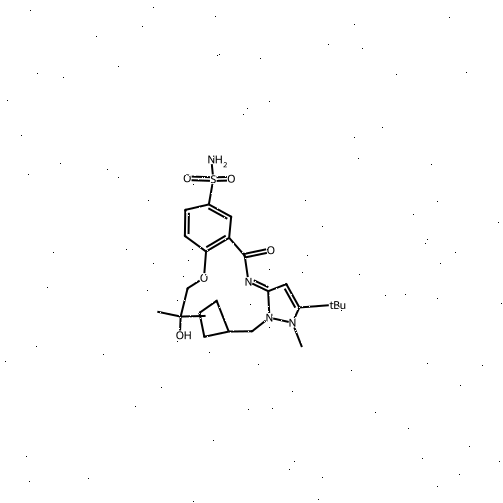 Cn1c(C(C)(C)C)c/c(=N\C(=O)c2cc(S(N)(=O)=O)ccc2OCC(C)(C)O)n1CC1CCC1